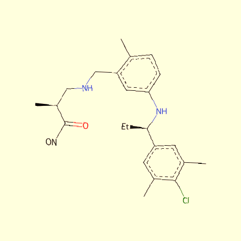 CC[C@@H](Nc1ccc(C)c(CNC[C@H](C)C(=O)N=O)c1)c1cc(C)c(Cl)c(C)c1